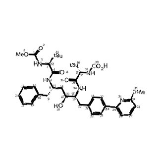 COC(=O)N[C@H](C(=O)N[C@@H](Cc1ccccc1)C[C@H](O)[C@H](Cc1ccc(-c2cccc(OC)n2)cc1)NC(=O)[C@@H](NC(=O)O)C(C)(C)C)C(C)(C)C